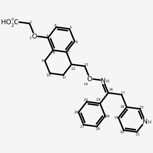 O=C(O)COc1cccc2c1CCCC2CON=C(Cc1cccnc1)c1ccccc1